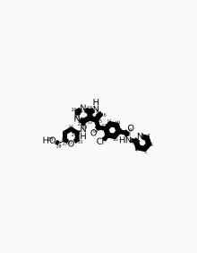 O=C(Nc1ccccn1)c1ccc(C(=O)c2c[nH]c3ncnc(N[C@H]4CC[C@@H](CO)OC4)c23)c(Cl)c1